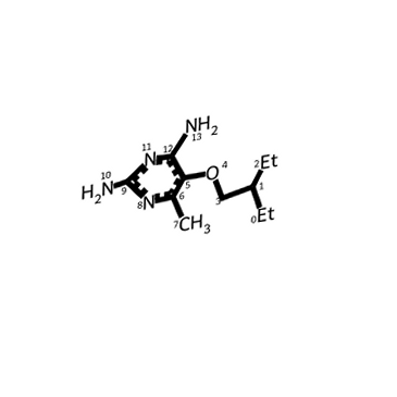 CCC(CC)COc1c(C)nc(N)nc1N